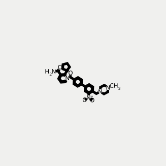 CN1CCN(Cc2ccc(-c3ccc(COC4(c5ncccc5C(N)=O)CCCC4)cc3)cc2[N+](=O)[O-])CC1